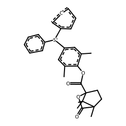 Cc1cc([S+](c2ccccc2)c2ccccc2)cc(C)c1OC(=O)C12CCC(C)(C(=O)O1)C2(C)C